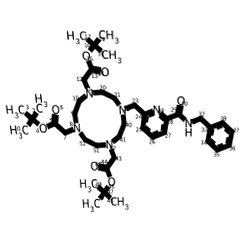 CC(C)(C)OC(=O)CN1CCN(CC(=O)OC(C)(C)C)CCN(Cc2cccc(C(=O)NCc3ccccc3)n2)CCN(CC(=O)OC(C)(C)C)CC1